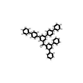 O=C(c1cc(-c2ccccc2)cc(-c2ccccc2)c1)c1cc(-c2ccc(-c3ccccc3)cc2)cc(-c2ccc(-c3ccccc3)cc2)c1